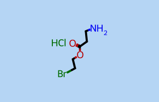 Cl.NCCC(=O)OCCBr